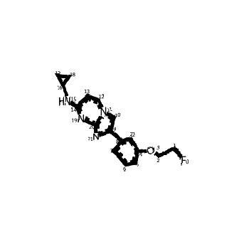 FCCOc1cccc(-c2cn3ccc(NC4CC4)nc3n2)c1